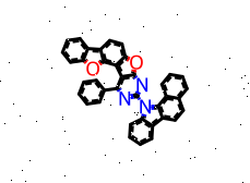 c1ccc(-c2nc(-n3c4ccccc4c4ccc5ccccc5c43)nc3oc4ccc5c6ccccc6oc5c4c23)cc1